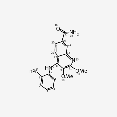 CCCc1ccccc1Nc1c(OC)c(OC)nc2cc(C(N)=O)ccc12